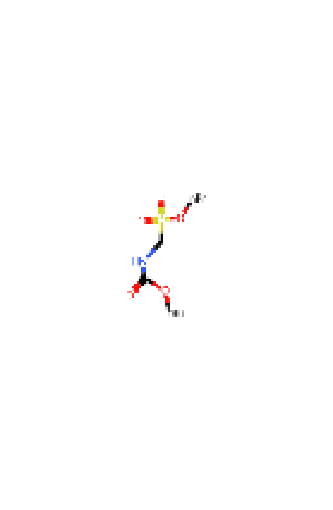 CCCOS(=O)(=O)CNC(=O)OC(C)(C)C